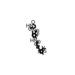 Cc1cnc(C2CC(OC(=O)NCc3ccc4c(c3F)C(=O)N([C@H]3CCC(=O)NC3=O)C4)C2)c2ncsc12